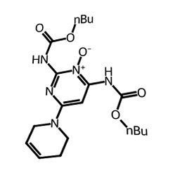 CCCCOC(=O)Nc1cc(N2CC=CCC2)nc(NC(=O)OCCCC)[n+]1[O-]